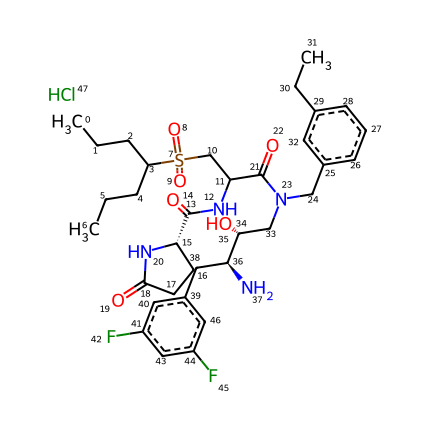 CCCC(CCC)S(=O)(=O)CC(NC(=O)[C@@H]1CCC(=O)N1)C(=O)N(Cc1cccc(CC)c1)C[C@@H](O)[C@@H](N)Cc1cc(F)cc(F)c1.Cl